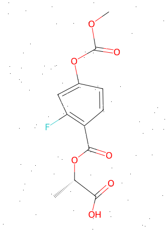 COC(=O)Oc1ccc(C(=O)O[C@@H](C)C(=O)O)c(F)c1